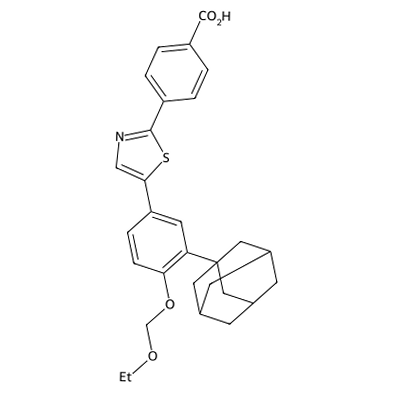 CCOCOc1ccc(-c2cnc(-c3ccc(C(=O)O)cc3)s2)cc1C12CC3CC(CC(C3)C1)C2